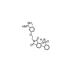 N=C(N)c1cccc(OCCN2C(=O)c3ccc(-c4ccccc4S(N)(=O)=O)cc3C2=O)c1